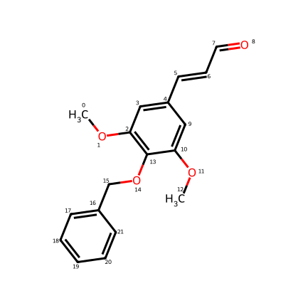 COc1cc(C=CC=O)cc(OC)c1OCc1ccccc1